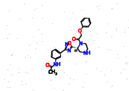 CC(=O)Nc1cccc(-c2noc([C@H]3CNCCN3C(=O)COc3ccccc3)n2)c1